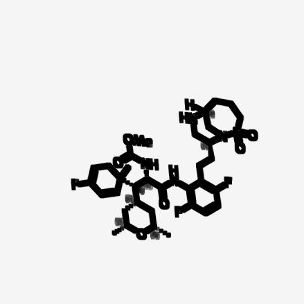 COC(=O)N[C@H](C(=O)Nc1c(F)ccc(F)c1CC[C@H]1CN[C@@H]2CCCS(=O)(=O)N1C2)[C@H]([C@H]1C[C@@H](C)O[C@@H](C)C1)C1(C)C=CC(F)=CC1